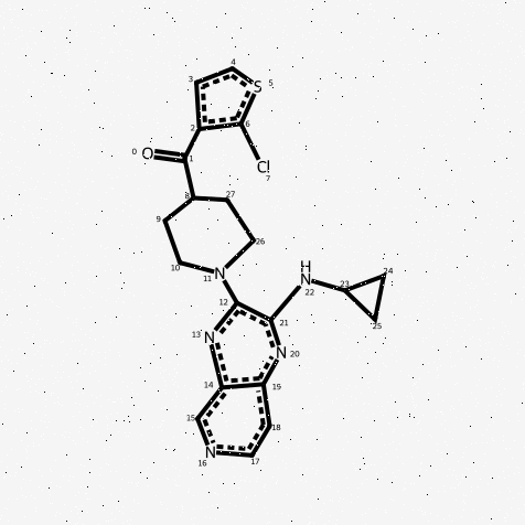 O=C(c1ccsc1Cl)C1CCN(c2nc3cnccc3nc2NC2CC2)CC1